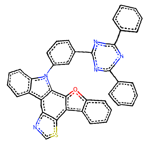 c1ccc(-c2nc(-c3ccccc3)nc(-c3cccc(-n4c5ccccc5c5c6ncsc6c6c7ccccc7oc6c54)c3)n2)cc1